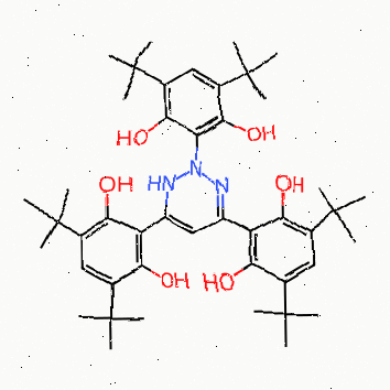 CC(C)(C)c1cc(C(C)(C)C)c(O)c(C2=CC(c3c(O)c(C(C)(C)C)cc(C(C)(C)C)c3O)=NN(c3c(O)c(C(C)(C)C)cc(C(C)(C)C)c3O)N2)c1O